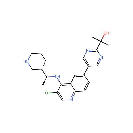 C[C@H](Nc1c(Cl)cnc2ccc(-c3cnc(C(C)(C)O)nc3)cc12)[C@H]1CCCNC1